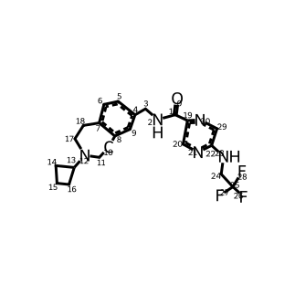 O=C(NCc1ccc2c(c1)CCN(C1CCC1)CC2)c1cnc(NCC(F)(F)F)cn1